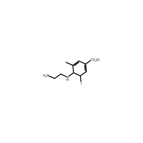 CCOC(=O)C1=CC(I)C(NCCN)C(I)=C1